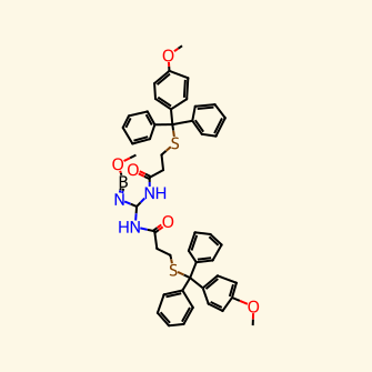 CO/B=N/C(NC(=O)CCSC(c1ccccc1)(c1ccccc1)c1ccc(OC)cc1)NC(=O)CCSC(c1ccccc1)(c1ccccc1)c1ccc(OC)cc1